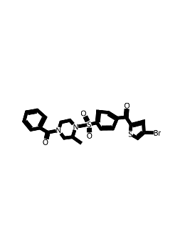 CC1CN(C(=O)c2ccccc2)CCN1S(=O)(=O)c1ccc(C(=O)c2cc(Br)cs2)cc1